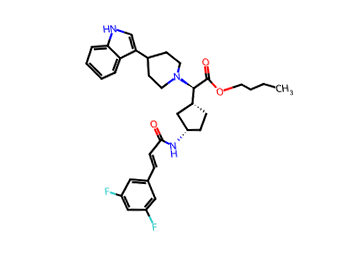 CCCCOC(=O)[C@@H]([C@@H]1CC[C@H](NC(=O)/C=C/c2cc(F)cc(F)c2)C1)N1CCC(c2c[nH]c3ccccc23)CC1